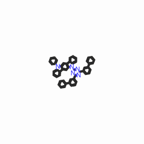 c1ccc(-c2cccc(-c3nc(-c4cccc(-c5ccccc5)c4)nc(-n4c5ccccc5c5cc6c(cc54)c4ccccc4n6-c4ccccc4)n3)c2)cc1